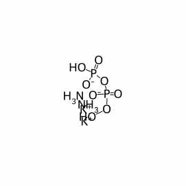 N.N.O=P([O-])(O)OP(=O)([O-])OO.[K+].[K+]